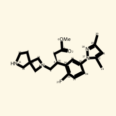 COC(=O)C[C@H](CN1CC2(CCNC2)C1)c1cc(-n2nc(C)cc2C)ccc1F